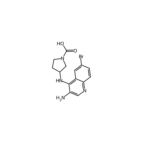 Nc1cnc2ccc(Br)cc2c1NC1CCN(C(=O)O)C1